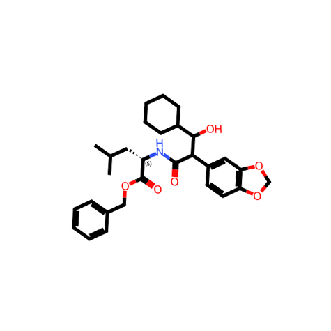 CC(C)C[C@H](NC(=O)C(c1ccc2c(c1)OCO2)C(O)C1CCCCC1)C(=O)OCc1ccccc1